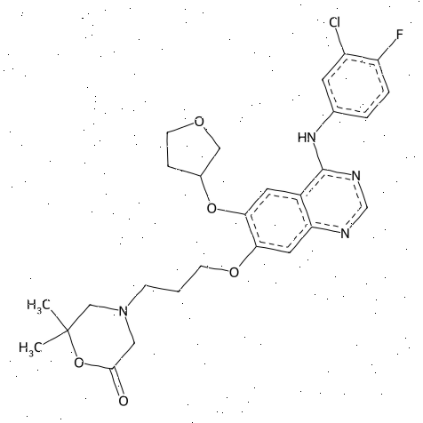 CC1(C)CN(CCCOc2cc3ncnc(Nc4ccc(F)c(Cl)c4)c3cc2OC2CCOC2)CC(=O)O1